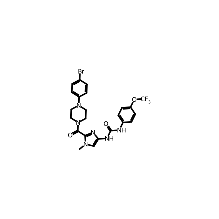 Cn1cc(NC(=O)Nc2ccc(OC(F)(F)F)cc2)nc1C(=O)N1CCN(c2ccc(Br)cc2)CC1